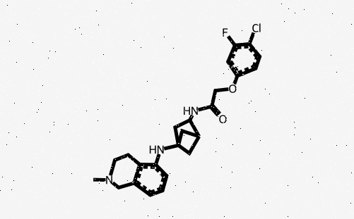 CN1CCc2c(cccc2NC23CC(C2)C(NC(=O)COc2ccc(Cl)c(F)c2)C3)C1